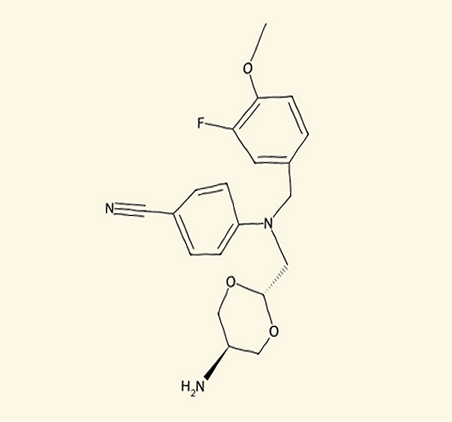 COc1ccc(CN(C[C@H]2OC[C@H](N)CO2)c2ccc(C#N)cc2)cc1F